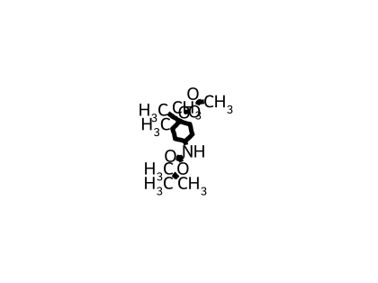 CC(=O)OOC1(C(C)(C)C)CCC(NC(=O)OC(C)(C)C)CC1